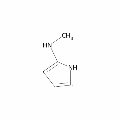 CNc1cc[c][nH]1